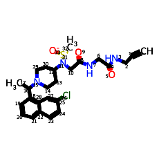 C#CCNC(=O)CNC(=O)CN(C1CCN(C(C)c2cccc3ccc(Cl)cc23)CC1)[S+](C)[O-]